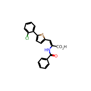 O=C(O)C(=Cc1ccc(-c2ccccc2Cl)s1)NC(=O)c1ccccc1